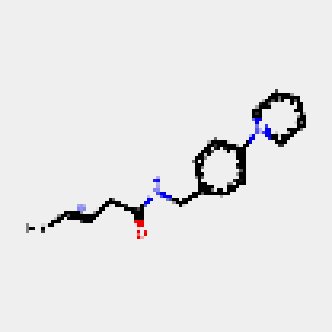 C/C=C/CC(=O)NCc1ccc(-[n+]2ccccc2)cc1